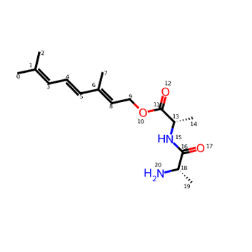 CC(C)=C/C=C/C(C)=C/COC(=O)[C@H](C)NC(=O)[C@H](C)N